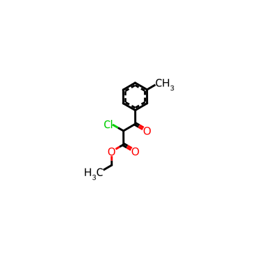 CCOC(=O)C(Cl)C(=O)c1cccc(C)c1